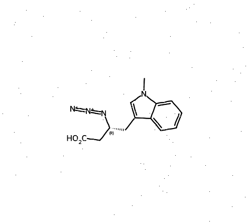 Cn1cc(C[C@H](CC(=O)O)N=[N+]=[N-])c2ccccc21